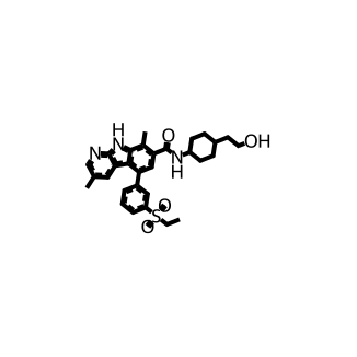 CCS(=O)(=O)c1cccc(-c2cc(C(=O)NC3CCC(CCO)CC3)c(C)c3[nH]c4ncc(C)cc4c23)c1